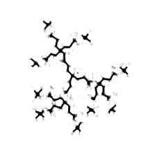 CC(C)(C)OC(=O)CCC(CCC(=O)OC(C)(C)C)(CCC(=O)OC(C)(C)C)CC(=O)CCC(N)(CCC(=O)NC(CCC(=O)OC(C)(C)C)(CCC(=O)OC(C)(C)C)CCC(=O)OC(C)(C)C)CCC(=O)NC(CCC(=O)OC(C)(C)C)(CCC(=O)OC(C)(C)C)CCC(=O)OC(C)(C)C